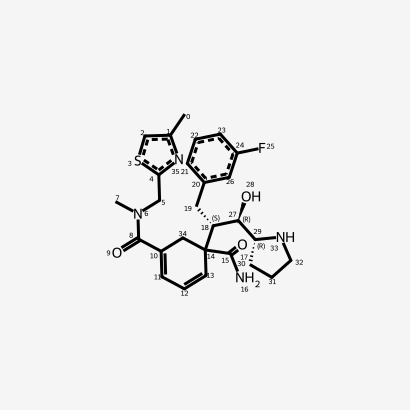 Cc1csc(CN(C)C(=O)C2=CC=CC(C(N)=O)([C@H](Cc3cccc(F)c3)[C@@H](O)[C@H]3CCCN3)C2)n1